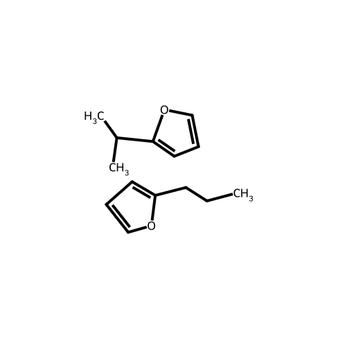 CC(C)c1ccco1.CCCc1ccco1